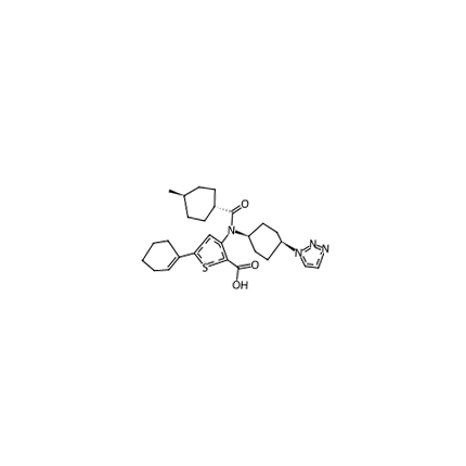 C[C@H]1CC[C@H](C(=O)N(c2cc(C3=CCCCC3)sc2C(=O)O)[C@H]2CC[C@@H](n3ccnn3)CC2)CC1